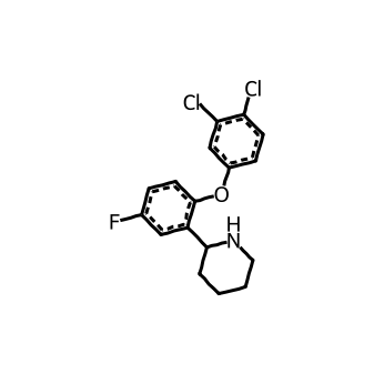 Fc1ccc(Oc2ccc(Cl)c(Cl)c2)c(C2CCCCN2)c1